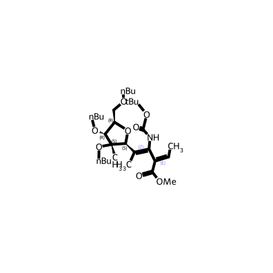 C/C=C(C(=O)OC)\C(NC(=O)OC(C)(C)C)=C(/C)[C@@H]1O[C@H](COCCCC)[C@@H](OCCCC)[C@@]1(C)OCCCC